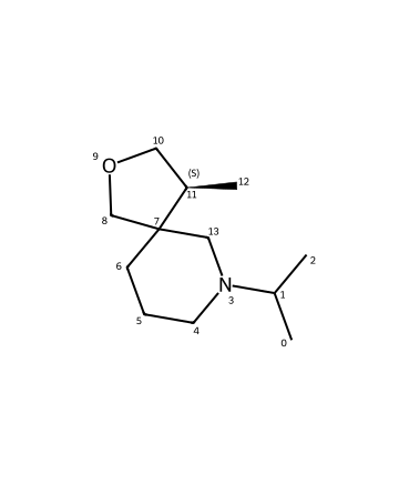 CC(C)N1CCCC2(COC[C@H]2C)C1